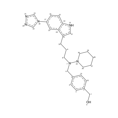 OCc1ccc(CN(CCCc2c[nH]c3ccc(-n4cnnc4)cc23)N2CCCCC2)cc1